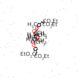 CCOC(=O)C(=Cc1ccc(OCC(=O)C(C)(C)[Si](C)(C)OC(C)(C)[Si](C)(C)C(=O)COc2ccc(C=C(C(=O)OCC)C(=O)OCC)cc2C)cc1)C(=O)OCC